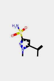 C=C(C)c1cc(S(N)(=O)=O)nn1C